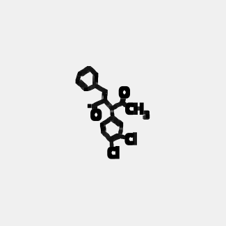 CC(=O)C(C([C]=O)=Cc1ccccc1)c1ccc(Cl)c(Cl)c1